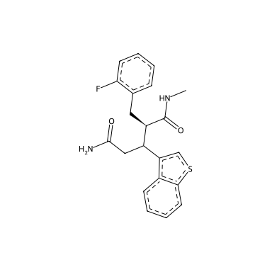 CNC(=O)[C@H](Cc1ccccc1F)C(CC(N)=O)c1csc2ccccc12